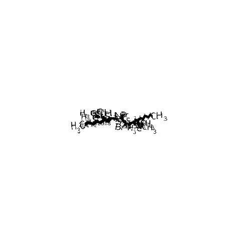 CCCCCCc1cc(-c2nc(Br)c(-c3sc(-c4cc(CCCCCC)c([Si](C)(C)C)s4)nc3Br)s2)sc1[Si](C)(C)C